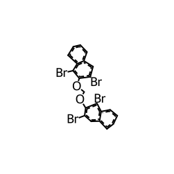 Brc1cc2ccccc2c(Br)c1OCOc1c(Br)cc2ccccc2c1Br